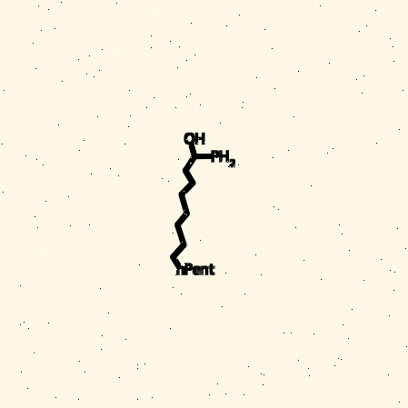 CCCCCCCCCCCCC(O)P